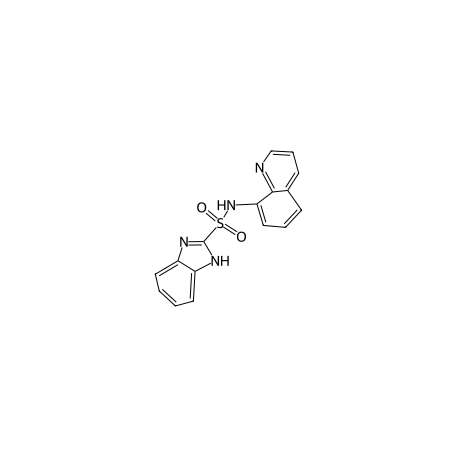 O=S(=O)(Nc1cccc2cccnc12)c1nc2ccccc2[nH]1